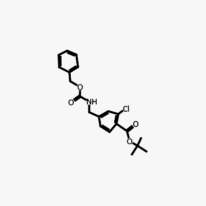 CC(C)(C)OC(=O)c1ccc(CNC(=O)OCc2ccccc2)cc1Cl